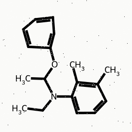 CCN(c1cccc(C)c1C)C(C)Oc1ccccc1